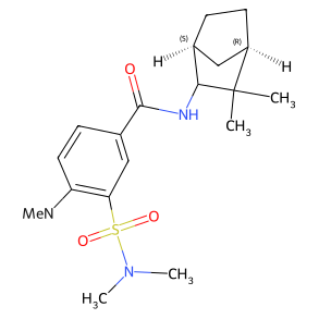 CNc1ccc(C(=O)NC2[C@H]3CC[C@H](C3)C2(C)C)cc1S(=O)(=O)N(C)C